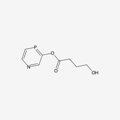 O=C(CCCO)Oc1cnccp1